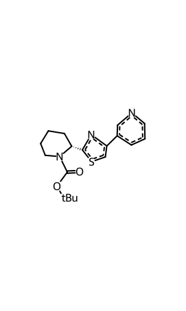 CC(C)(C)OC(=O)N1CCCC[C@@H]1c1nc(-c2cccnc2)cs1